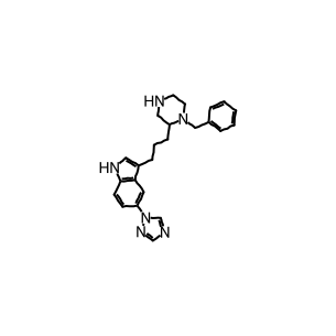 c1ccc(CN2CCNCC2CCCc2c[nH]c3ccc(-n4cncn4)cc23)cc1